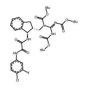 CC(C)(C)OC(=O)/N=C(\NC(=O)OC(C)(C)C)N(C[C@H]1Cc2ccccc2[C@@H]1NC(=O)C(=O)Nc1ccc(Cl)c(F)c1)C(=O)OC(C)(C)C